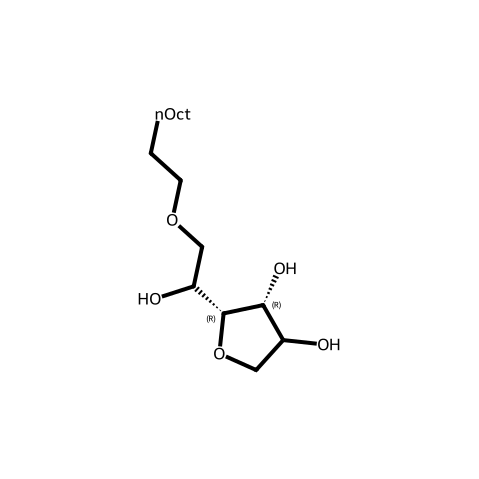 CCCCCCCCCCOCC(O)[C@H]1OCC(O)[C@H]1O